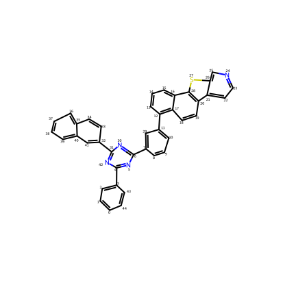 c1ccc(-c2nc(-c3cccc(-c4cccc5c4ccc4c6ccncc6sc54)c3)nc(-c3ccc4ccccc4c3)n2)cc1